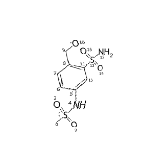 CS(=O)(=O)Nc1ccc(C[O])c(S(N)(=O)=O)c1